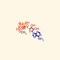 COP(=O)(O)OP(=O)(O)OP(=O)(O)OC[C@H]1O[C@@H](n2cnc3c(N)ncnc32)[C@H](O)[C@@H]1O